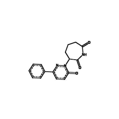 O=C1CCCC(n2nc(-c3ccccc3)ccc2=O)C(=O)N1